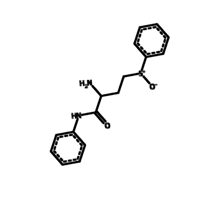 NC(CC[S+]([O-])c1ccccc1)C(=O)Nc1ccccc1